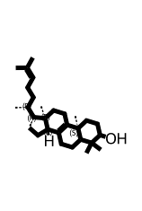 CC(C)=CCC[C@@H](C)[C@H]1CC[C@H]2C3=C(CC[C@]12C)[C@@]1(C)CCC(O)C(C)(C)C1CC3